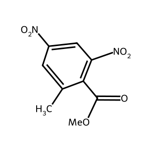 COC(=O)c1c(C)cc([N+](=O)[O-])cc1[N+](=O)[O-]